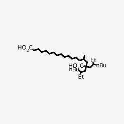 CCCCC(CC)CC(CC(C)CCCCCCCCCCCCCC(=O)O)(CC(CC)CCCC)C(=O)O